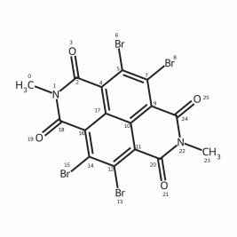 CN1C(=O)c2c(Br)c(Br)c3c4c(c(Br)c(Br)c(c24)C1=O)C(=O)N(C)C3=O